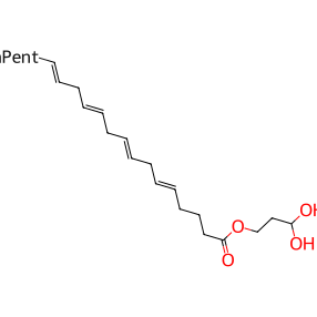 CCCCCC=CCC=CCC=CCC=CCCCC(=O)OCCC(O)O